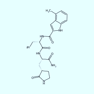 Cc1cccc2[nH]c(C(=O)N[C@@H](CC(C)C)C(=O)N[C@@H](C[C@@H]3CCNC3=O)C(N)=O)cc12